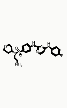 NCCN(C1CCOCC1)S(=O)(=O)c1ccc(Nc2nccc(Nc3ccc(F)cc3)n2)cc1